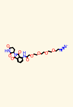 [N-]=[N+]=NCCOCCOCCOCCOCC(=O)Nc1cccc2c1C(=O)N(C1CCC(=O)NC1=O)C2=O